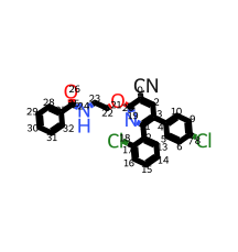 N#Cc1cc(-c2ccc(Cl)cc2)c(-c2ccccc2Cl)nc1OCCNC(=O)c1ccccc1